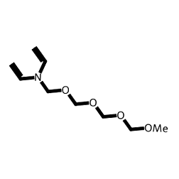 C=CN(C=C)COCOCOCOC